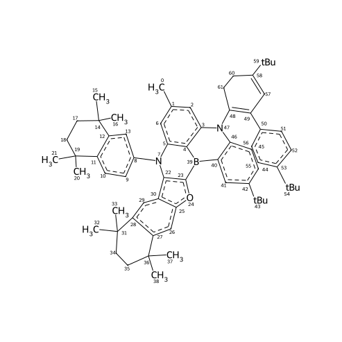 Cc1cc2c3c(c1)N(c1ccc4c(c1)C(C)(C)CCC4(C)C)c1c(oc4cc5c(cc14)C(C)(C)CCC5(C)C)B3c1cc(C(C)(C)C)ccc1N2C1=C(c2ccc(C(C)(C)C)cc2)C=C(C(C)(C)C)CC1